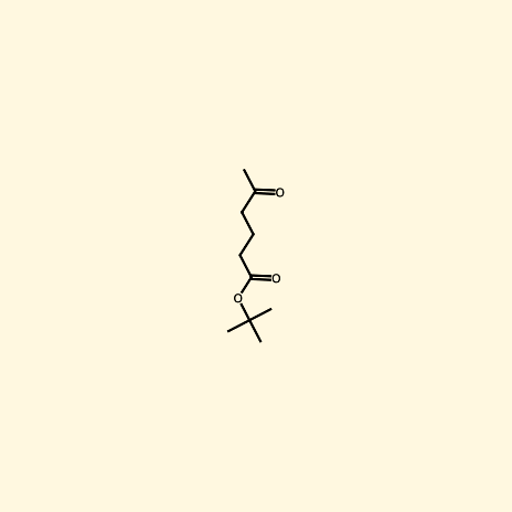 CC(=O)CCCC(=O)OC(C)(C)C